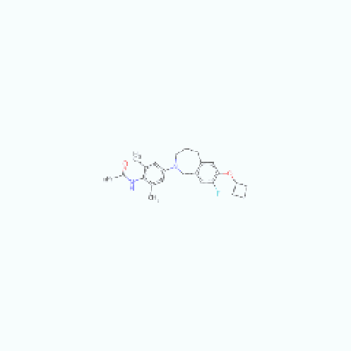 CCCC(=O)Nc1c(C)cc(N2CCCc3cc(OC4CCC4)c(F)cc3C2)cc1C